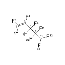 FC(F)=C(F)C(F)(F)C(F)(F)C(F)F